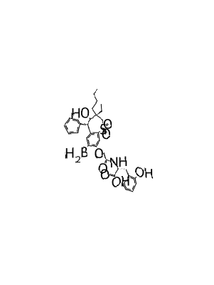 Bc1cc2c(cc1OCC(=O)N[C@H](Cc1ccccc1O)C(=O)O)S(=O)(=O)C[C@@](CC)(CCCC)[C@H](O)[C@@H]2c1ccccc1